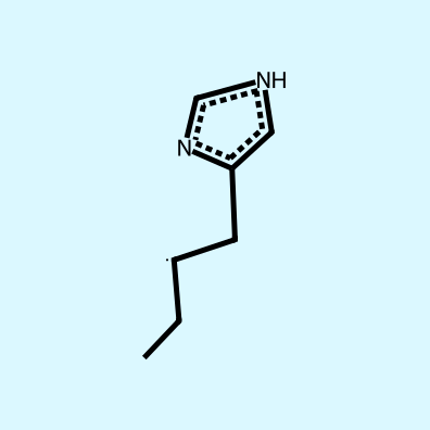 CC[CH]Cc1c[nH]cn1